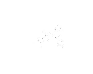 Cc1cc2c(F)c(Nc3nc(-c4ccncc4)cc4ncccc34)ccc2[nH]1